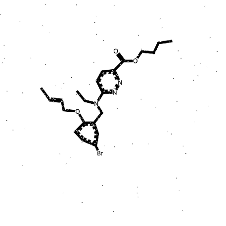 C/C=C/COc1ccc(Br)cc1CN(CC)c1ccc(C(=O)OCCCC)nn1